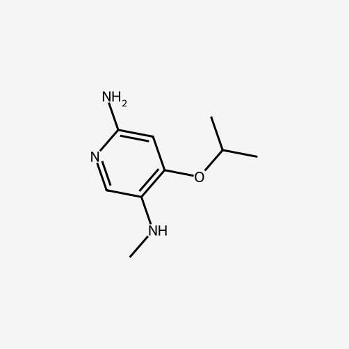 CNc1cnc(N)cc1OC(C)C